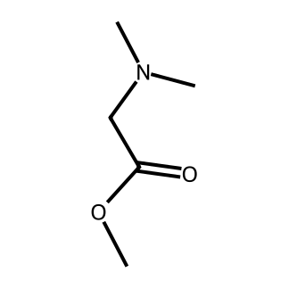 COC(=O)CN(C)C